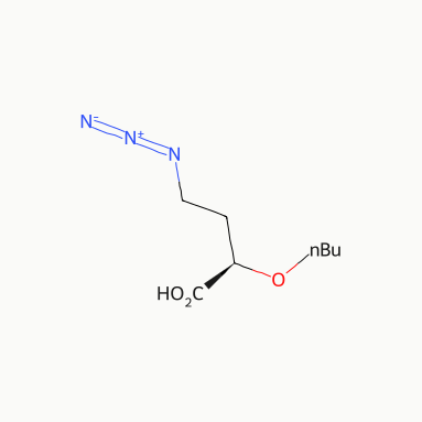 CCCCO[C@H](CCN=[N+]=[N-])C(=O)O